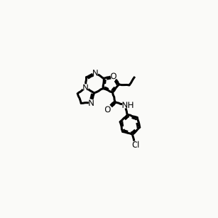 CCc1oc2c(c1C(=O)Nc1ccc(Cl)cc1)C1=NCCN1C=N2